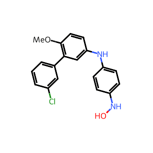 COc1ccc(Nc2ccc(NO)cc2)cc1-c1cccc(Cl)c1